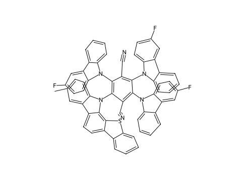 Cc1ccc2c(c1)c1ccc3c4ccccc4sc3c1n2-c1c(C#N)c(-n2c3ccccc3c3cc(F)ccc32)c(-n2c3ccccc3c3cc(F)ccc32)c(C#N)c1-n1c2ccccc2c2cc(F)ccc21